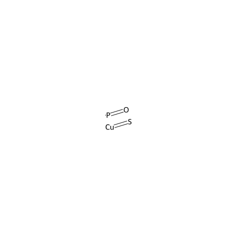 O=[P].[S]=[Cu]